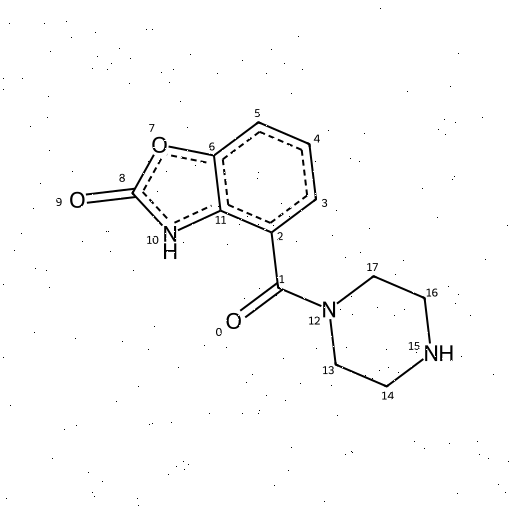 O=C(c1cccc2oc(=O)[nH]c12)N1CCNCC1